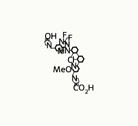 COc1nc(-c2cccc(-c3cccc(Nc4nc(C(F)F)nc5cc(CN6CC[C@@H](O)C6)cnc45)c3C)c2Cl)ccc1CN1CC[C@@H](C(=O)O)C1